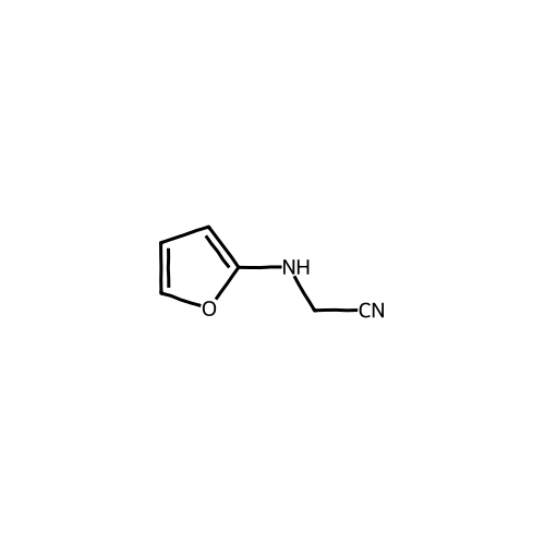 N#CCNc1ccco1